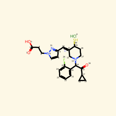 Cl.O=C(O)CCn1ccc(/C=C2\CN(C(C(=O)C3CC3)c3ccccc3F)CCC2S)n1